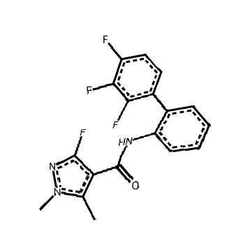 Cc1c(C(=O)Nc2ccccc2-c2ccc(F)c(F)c2F)c(F)nn1C